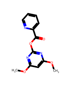 COc1cc(OC)nc(OC(=O)c2ccccn2)n1